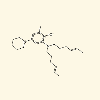 C/C=C/CCCN(CCC/C=C/C)c1cc(N2CCCCC2)cc(C)[n+]1[O-]